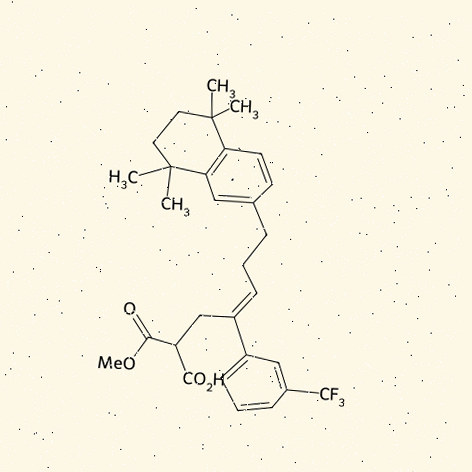 COC(=O)C(C/C(=C\CCc1ccc2c(c1)C(C)(C)CCC2(C)C)c1cccc(C(F)(F)F)c1)C(=O)O